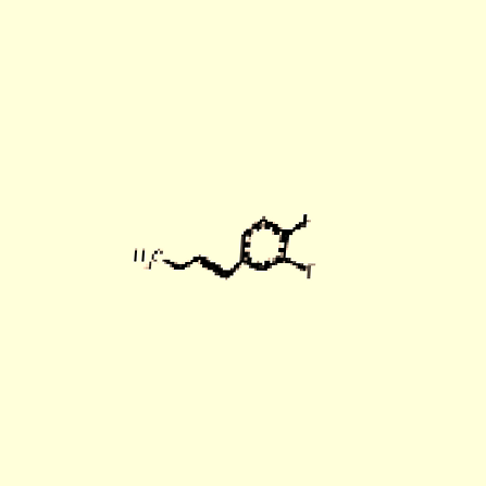 CCC=Cc1ccc(F)c(F)c1